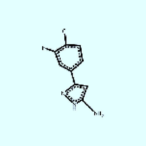 Nc1cc(-c2ccc(Cl)c(F)c2)n[nH]1